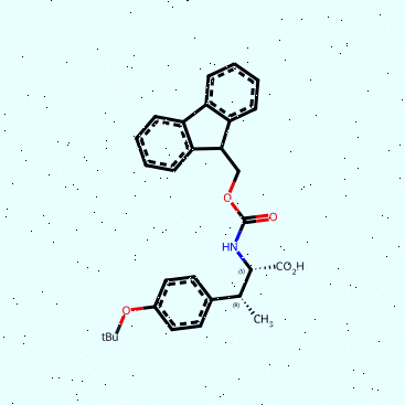 C[C@H](c1ccc(OC(C)(C)C)cc1)[C@H](NC(=O)OCC1c2ccccc2-c2ccccc21)C(=O)O